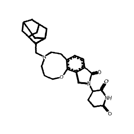 O=C1CCC(N2Cc3c(ccc4c3OCCCN(CC3C5CC6CC(C5)CC3C6)CC4)C2=O)C(=O)N1